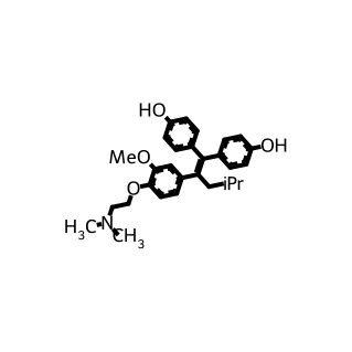 COc1cc(C(CC(C)C)=C(c2ccc(O)cc2)c2ccc(O)cc2)ccc1OCCN(C)C